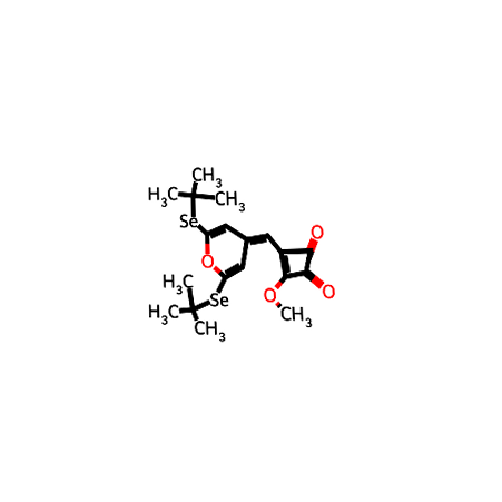 COc1c(C=C2C=C([Se]C(C)(C)C)OC([Se]C(C)(C)C)=C2)c(=O)c1=O